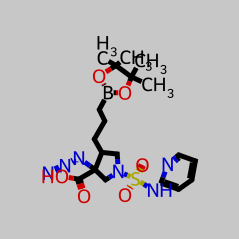 CC1(C)OB(CCCC2CN(S(=O)(=O)Nc3ccccn3)CC2(N=[N+]=[N-])C(=O)O)OC1(C)C